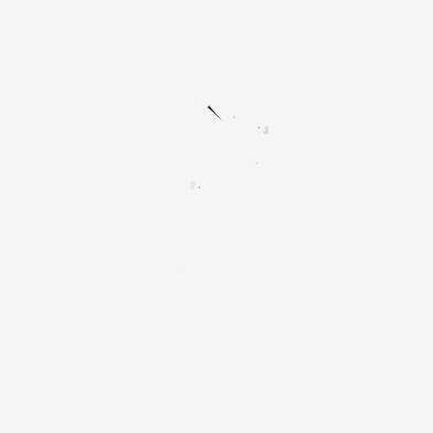 O=C(Cc1ccccc1)NC1C(=O)N[C@@H]1S